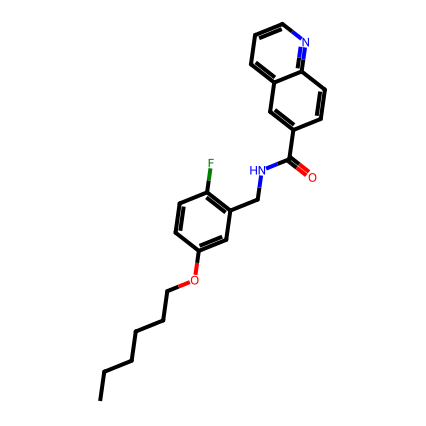 CCCCCCOc1ccc(F)c(CNC(=O)c2ccc3ncccc3c2)c1